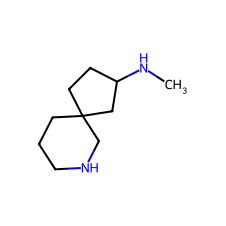 CNC1CCC2(CCCNC2)C1